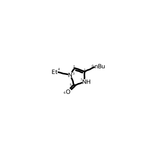 CCCCc1cn(CC)c(=O)[nH]1